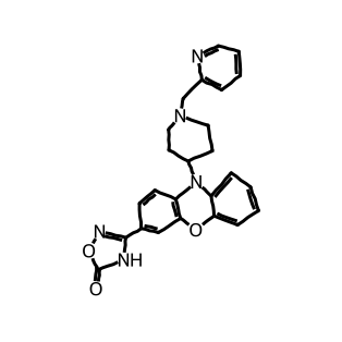 O=c1[nH]c(-c2ccc3c(c2)Oc2ccccc2N3C2CCN(Cc3ccccn3)CC2)no1